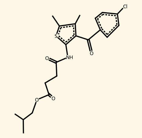 Cc1sc(NC(=O)CCC(=O)OCC(C)C)c(C(=O)c2ccc(Cl)cc2)c1C